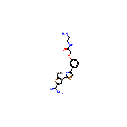 CSc1sc(C(=N)N)cc1-c1nc(-c2cccc(OCC(=O)NCCN)c2)cs1